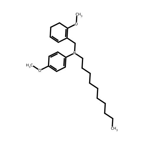 CCCCCCCCCCN(CC1=C(OC)CCC=C1)c1ccc(OC)cc1